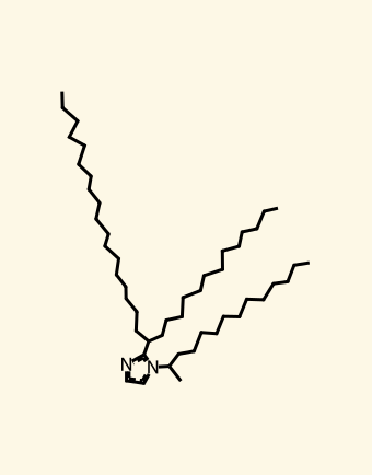 CCCCCCCCCCCCCCCCCCC(CCCCCCCCCCCCC)c1nccn1C(C)CCCCCCCCCCCC